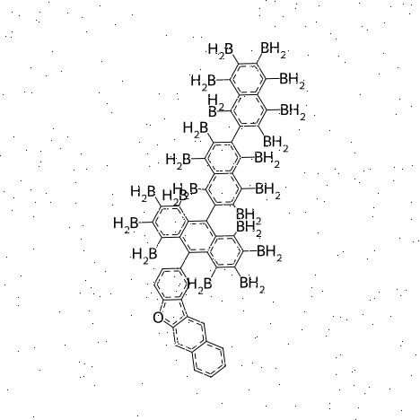 Bc1c(B)c(B)c2c(B)c(-c3c(B)c(B)c4c(B)c(-c5c6c(B)c(B)c(B)c(B)c6c(-c6ccc7oc8cc9ccccc9cc8c7c6)c6c(B)c(B)c(B)c(B)c56)c(B)c(B)c4c3B)c(B)c(B)c2c1B